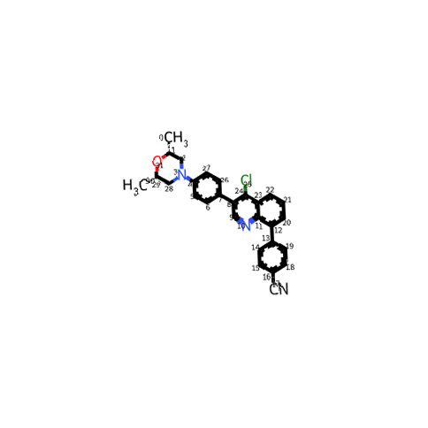 C[C@@H]1CN(c2ccc(-c3cnc4c(-c5ccc(C#N)cc5)cccc4c3Cl)cc2)C[C@H](C)O1